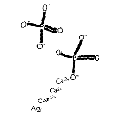 O=P([O-])([O-])[O-].O=P([O-])([O-])[O-].[Ag].[Ca+2].[Ca+2].[Ca+2]